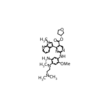 COc1cc(N(C)CCN(C)C)c(N)cc1Nc1ncc(C(=O)O[C@@H]2CCOC2)c(-c2cn(C)c3ncccc23)n1